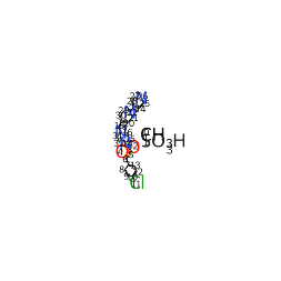 CS(=O)(=O)O.O=S(=O)(/C=C/c1ccc(Cl)cc1)N1CCN(CC2CCN(c3ccncc3)CC2)CC1